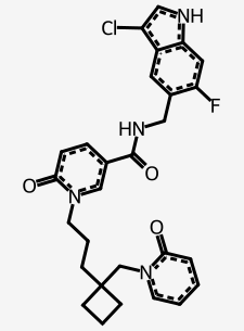 O=C(NCc1cc2c(Cl)c[nH]c2cc1F)c1ccc(=O)n(CCCC2(Cn3ccccc3=O)CCC2)c1